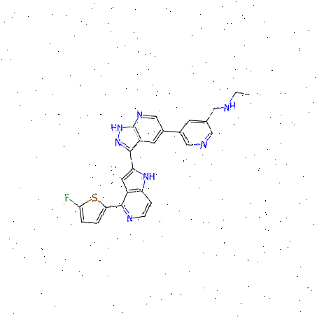 CCNCc1cncc(-c2cnc3[nH]nc(-c4cc5c(-c6ccc(F)s6)nccc5[nH]4)c3c2)c1